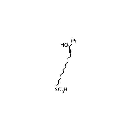 CC(C)CC(O)C#CCCCCCCCCCCCCS(=O)(=O)O